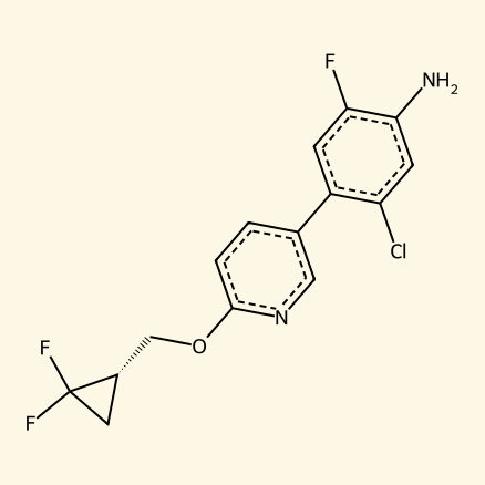 Nc1cc(Cl)c(-c2ccc(OC[C@@H]3CC3(F)F)nc2)cc1F